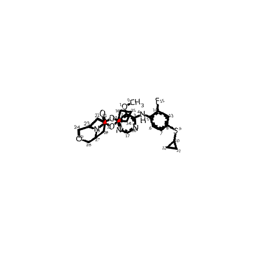 COc1c(Nc2ccc(SC3CC3)cc2F)ncnc1OC1CC2COCC(C1)N2C(=O)OC1CCC1